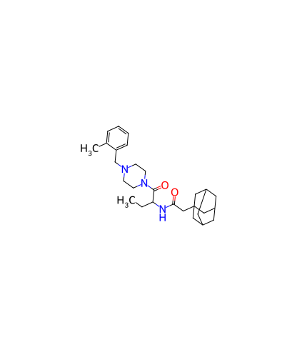 CCC(NC(=O)CC12CC3CC(CC(C3)C1)C2)C(=O)N1CCN(Cc2ccccc2C)CC1